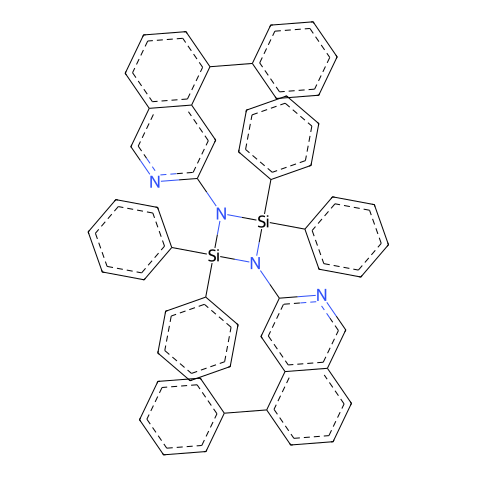 c1ccc(-c2cccc3cnc(N4[Si](c5ccccc5)(c5ccccc5)N(c5cc6c(-c7ccccc7)cccc6cn5)[Si]4(c4ccccc4)c4ccccc4)cc23)cc1